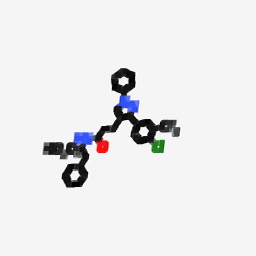 O=C(C=Cc1cn(-c2ccccc2)nc1-c1ccc(Cl)c(C(F)(F)F)c1)N[C@@H](Cc1ccccc1)C(=O)O